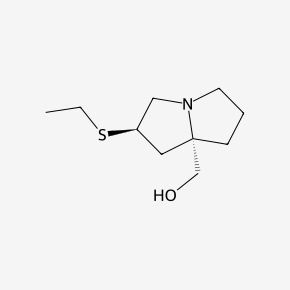 CCS[C@H]1CN2CCC[C@@]2(CO)C1